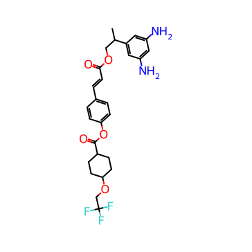 CC(COC(=O)C=Cc1ccc(OC(=O)C2CCC(OCC(F)(F)F)CC2)cc1)c1cc(N)cc(N)c1